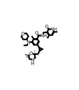 CCN(c1cc(C2CC2C[C@@]2(C)CNC[C@@H](C)O2)cc(C(=O)NCc2c(C)cc(C)[nH]c2=O)c1C)C1CCOCC1